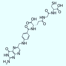 Nc1nc2ncc(CNc3ccc(C(=O)N[C@@H](CCC(=O)NCC(=O)NC(CS)C(=O)O)C(=O)O)cc3)nc2c(=O)[nH]1